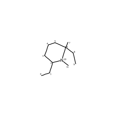 CCC1CCCC(C)(CC)N1C